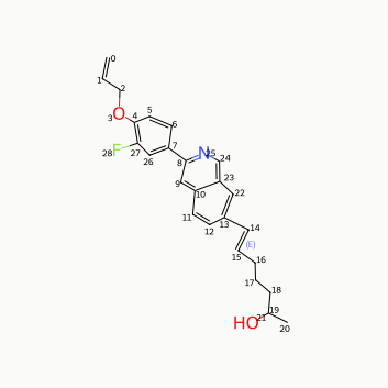 C=CCOc1ccc(-c2cc3ccc(/C=C/CCCC(C)O)cc3cn2)cc1F